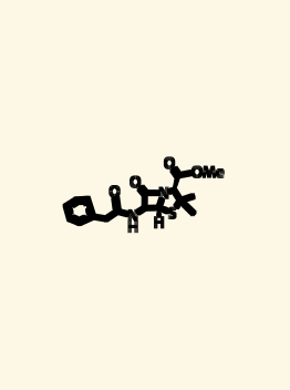 COC(=O)[C@@H]1N2C(=O)C(NC(=O)Cc3ccccc3)[C@H]2SC1(C)C